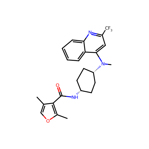 Cc1coc(C)c1C(=O)N[C@H]1CC[C@@H](N(C)c2cc(C(F)(F)F)nc3ccccc23)CC1